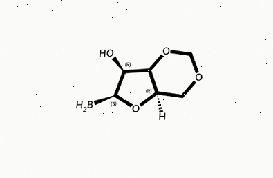 B[C@@H]1O[C@@H]2COCOC2[C@@H]1O